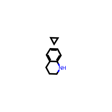 C1CC1.c1ccc2c(c1)CCCN2